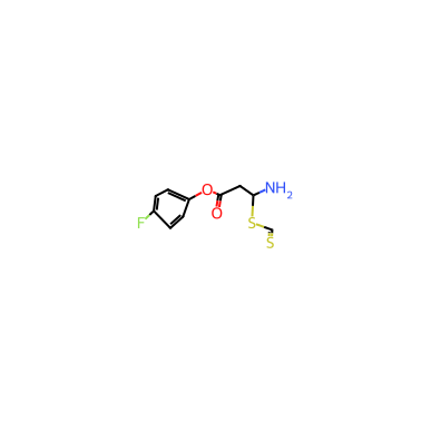 NC(CC(=O)Oc1ccc(F)cc1)SC=S